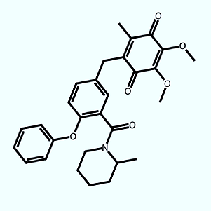 COC1=C(OC)C(=O)C(Cc2ccc(Oc3ccccc3)c(C(=O)N3CCCCC3C)c2)=C(C)C1=O